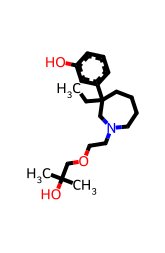 CCC1(c2cccc(O)c2)CCCCN(CCOCC(C)(C)O)C1